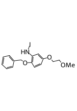 COCCOc1ccc(OCc2ccccc2)c(NI)c1